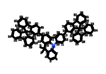 CC1(C)c2ccccc2-n2c3ccc(-c4ccc5c(c4)C4(c6ccccc6-c6ccccc64)c4ccccc4-5)cc3c3cc(-c4ccc5c(c4)C4(c6ccccc6-c6ccccc64)c4ccccc4-5)cc1c32